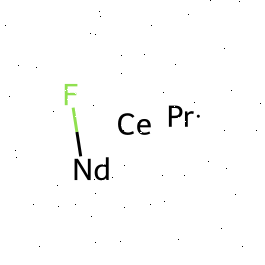 [Ce].[F][Nd].[Pr]